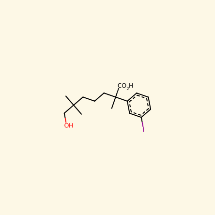 CC(C)(CO)CCCC(C)(C(=O)O)c1cccc(I)c1